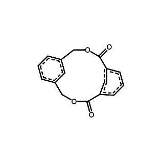 O=C1OCc2cccc(c2)COC(=O)c2cccc1c2